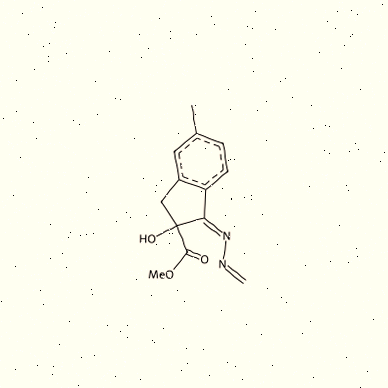 C=N/N=C1/c2ccc(C)cc2CC1(O)C(=O)OC